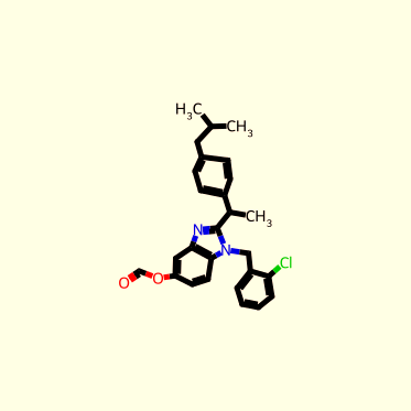 CC(C)Cc1ccc(C(C)c2nc3cc(OC=O)ccc3n2Cc2ccccc2Cl)cc1